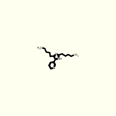 CCCCCc1nc(CCCCC)c(-c2cccnc2)[nH]1